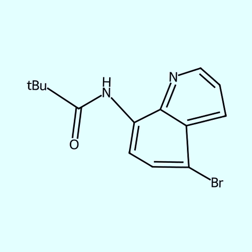 CC(C)(C)C(=O)Nc1ccc(Br)c2cccnc12